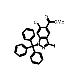 COC(=O)c1cc2c(I)nn(C(c3ccccc3)(c3ccccc3)c3ccccc3)c2cc1Cl